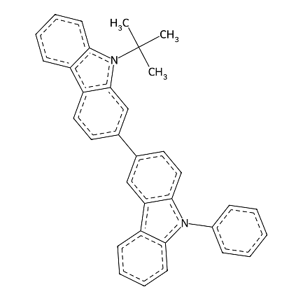 CC(C)(C)n1c2ccccc2c2ccc(-c3ccc4c(c3)c3ccccc3n4-c3ccccc3)cc21